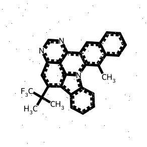 Cc1c2ccccc2cc2c3ncnc4cc(C(C)(C)C(F)(F)F)c5c6ccccc6n(c12)c5c43